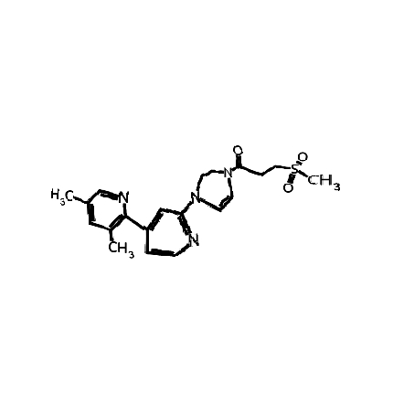 Cc1cnc(-c2ccnc(N3C=CN(C(=O)CCS(C)(=O)=O)CC3)c2)c(C)c1